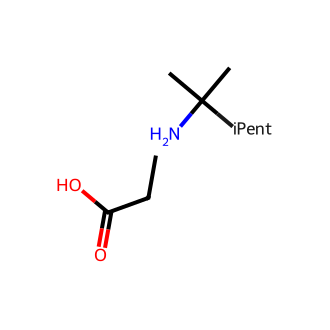 CCC(=O)O.CCCC(C)C(C)(C)N